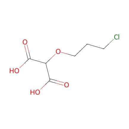 O=C(O)C(OCCCCl)C(=O)O